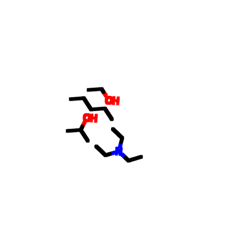 CC(C)O.CCCCC.CCN(CC)CC.CCO